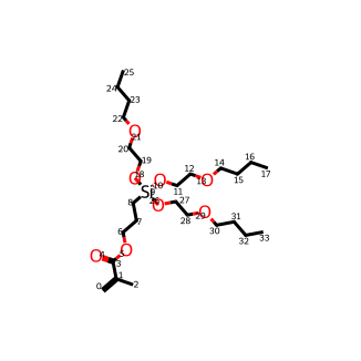 C=C(C)C(=O)OCCC[Si](OCCOCCCC)(OCCOCCCC)OCCOCCCC